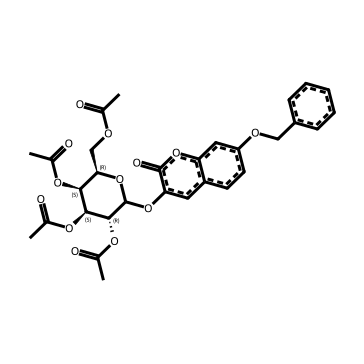 CC(=O)OC[C@H]1OC(Oc2cc3ccc(OCc4ccccc4)cc3oc2=O)[C@H](OC(C)=O)[C@@H](OC(C)=O)[C@H]1OC(C)=O